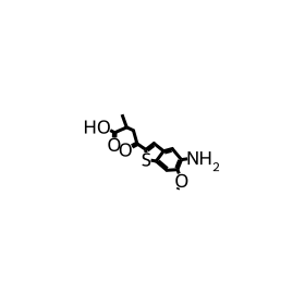 COc1cc2sc(C(=O)CC(C)C(=O)O)cc2cc1N